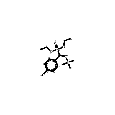 CCOP(=O)(OCC)C(O[Si](C)(C)C)c1ccc(F)cc1